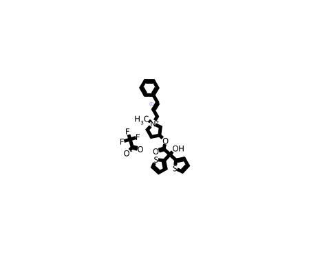 C[N+]1(C/C=C/c2ccccc2)CCC(OC(=O)C(O)(c2cccs2)c2cccs2)C1.O=C([O-])C(F)(F)F